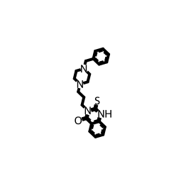 O=c1c2ccccc2[nH]c(=S)n1CCCN1CCN(Cc2ccccc2)CC1